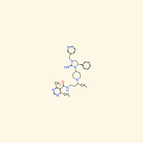 Cc1ncnc(C)c1C(=O)NCCC(C)N1CCC(N2C(=N)N(Cc3cccnc3)C[C@H]2c2ccccc2)CC1